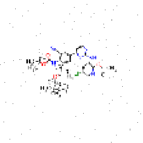 CC(C)Oc1ncc(Cl)cc1Nc1nccc(-c2cc(C#N)c3c(c2)[C@@](C)(CO[Si](C)(C)C(C)(C)C)CN3C(=O)OC(C)(C)C)n1